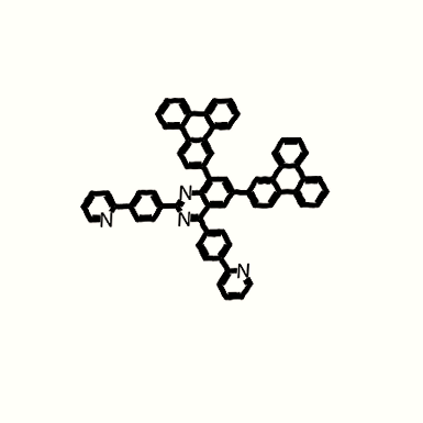 c1ccc(-c2ccc(-c3nc(-c4ccc(-c5ccccn5)cc4)c4cc(-c5ccc6c7ccccc7c7ccccc7c6c5)cc(-c5ccc6c7ccccc7c7ccccc7c6c5)c4n3)cc2)nc1